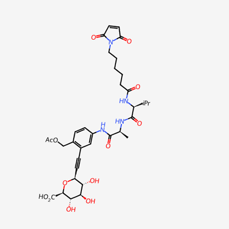 CC(=O)OCc1ccc(NC(=O)[C@H](C)NC(=O)[C@@H](NC(=O)CCCCCN2C(=O)C=CC2=O)C(C)C)cc1C#C[C@@H]1O[C@H](C(=O)O)[C@@H](O)[C@H](O)[C@H]1O